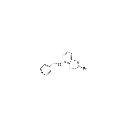 Brc1ccc2c(OCc3ccccc3)cccc2c1